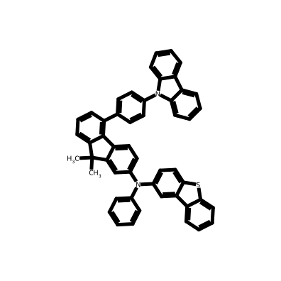 CC1(C)c2cc(N(c3ccccc3)c3ccc4sc5ccccc5c4c3)ccc2-c2c(-c3ccc(-n4c5ccccc5c5ccccc54)cc3)cccc21